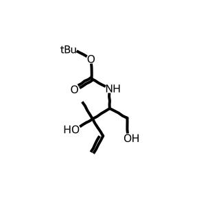 C=CC(C)(O)C(CO)NC(=O)OC(C)(C)C